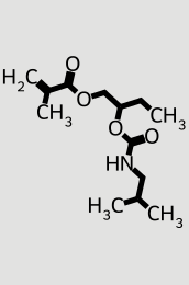 C=C(C)C(=O)OCC(CC)OC(=O)NCC(C)C